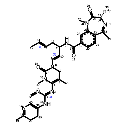 C=N/C(=N\C1=C(C)CN(/C=C/C(C/C=C/C)NC(=O)c2ccc3c(c2)N(C)C(=O)[C@H](CCC)N=C3C)C(=O)N1C)NC1=CN=C(C)CC1